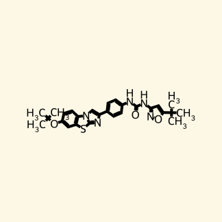 CC(C)(C)Oc1ccc2c(c1)sc1nc(-c3ccc(NC(=O)Nc4cc(C(C)(C)C)on4)cc3)cn12